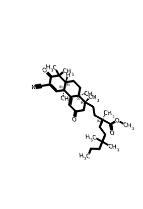 CCCC(C)(C)CC[C@@](C)(CC[C@]1(C)CC(=O)C=C2[C@@]3(C)C=C(C#N)C(=O)C(C)(C)[C@@H]3CC[C@]21C)C(=O)OC